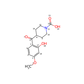 COc1ccc(C(=O)C2CCN(C(=O)O)CC2)c(O)c1